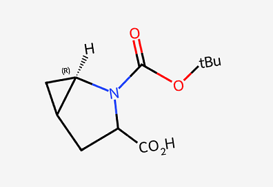 CC(C)(C)OC(=O)N1C(C(=O)O)CC2C[C@H]21